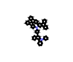 c1ccc(-n2c3ccccc3c3c4ccccc4c(-c4ccc(N(c5ccc6c(c5)C5(c7ccccc7-c7ccccc75)c5ccccc5-6)c5ccc6c7ccccc7c7ccccc7c6c5)cc4)cc32)cc1